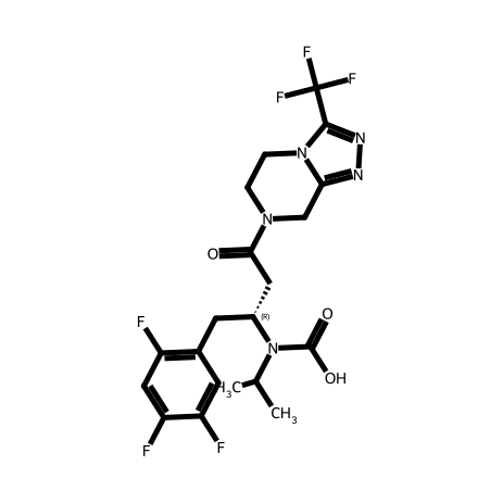 CC(C)N(C(=O)O)[C@@H](CC(=O)N1CCn2c(nnc2C(F)(F)F)C1)Cc1cc(F)c(F)cc1F